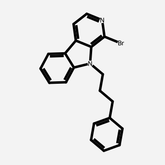 Brc1nccc2c3ccccc3n(CCCc3ccccc3)c12